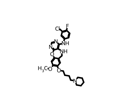 COc1cc2c(cc1OCCCCN1CCCCC1)CNc1c(Nc3ccc(F)c(Cl)c3)ncnc1O2